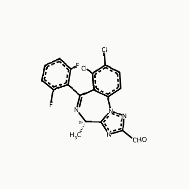 C[C@@H]1N=C(c2c(F)cccc2F)c2c(ccc(Cl)c2Cl)-n2nc(C=O)nc21